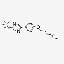 CC(C)(C)COCCCOc1ccc(-c2cnc(NC(C)(C)C)cn2)cc1